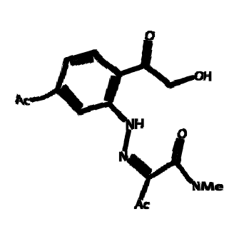 CNC(=O)/C(=N\Nc1cc(C(C)=O)ccc1C(=O)CO)C(C)=O